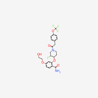 NC(=O)c1ccc(OCCO)cc1O[C@@H]1CCN(C(=O)Cc2ccc(OC(F)(F)F)cc2)C[C@@H]1F